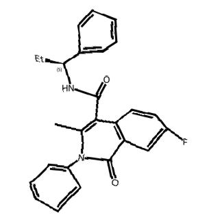 CC[C@H](NC(=O)c1c(C)n(-c2ccccc2)c(=O)c2cc(F)ccc12)c1ccccc1